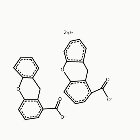 O=C([O-])c1cccc2c1Cc1ccccc1O2.O=C([O-])c1cccc2c1Cc1ccccc1O2.[Zn+2]